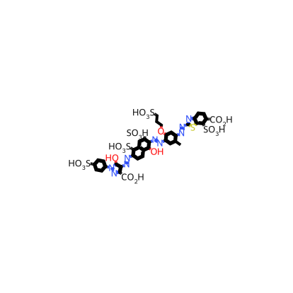 Cc1cc(N=Nc2c(S(=O)(=O)O)cc3c(S(=O)(=O)O)c(N=Nc4c(C(=O)O)nn(-c5ccc(S(=O)(=O)O)cc5)c4O)ccc3c2O)c(OCCCS(=O)(=O)O)cc1N=Nc1nc2ccc(C(=O)O)c(S(=O)(=O)O)c2s1